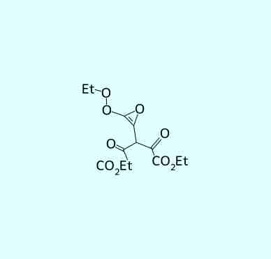 CCOOC1=C(C(C(=O)C(=O)OCC)C(=O)C(=O)OCC)O1